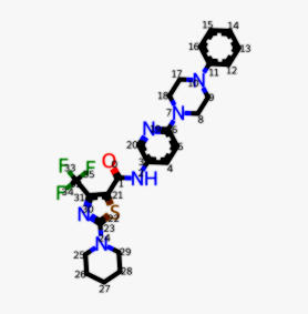 O=C(Nc1ccc(N2CCN(c3ccccc3)CC2)nc1)c1sc(N2CCCCC2)nc1C(F)(F)F